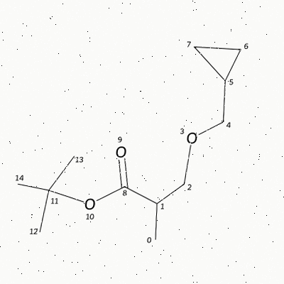 CC(COCC1CC1)C(=O)OC(C)(C)C